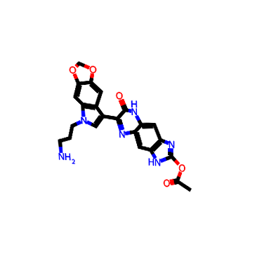 CC(=O)Oc1nc2cc3[nH]c(=O)c(-c4cn(CCCN)c5cc6c(cc45)OCO6)nc3cc2[nH]1